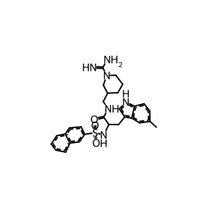 Cc1ccc2[nH]cc(CC(NS(=O)(=O)c3ccc4ccccc4c3)C(=O)NCC3CCCN(C(=N)N)C3)c2c1